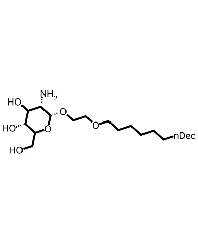 CCCCCCCCCCCCCCCCOCCO[C@@H]1OC(CO)[C@H](O)C(O)[C@@H]1N